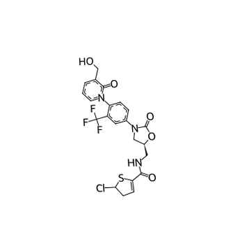 O=C(NC[C@H]1CN(c2ccc(-n3cccc(CO)c3=O)c(C(F)(F)F)c2)C(=O)O1)C1=CCC(Cl)S1